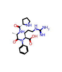 C[C@H](NC(=O)[C@@H]1CCCN1)C(=O)N(c1ccccc1)[C@@H](CCCNC(=N)N)C(=O)O